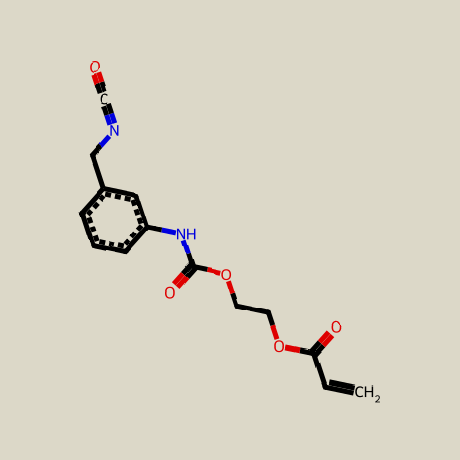 C=CC(=O)OCCOC(=O)Nc1cccc(CN=C=O)c1